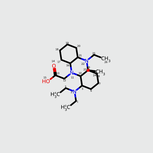 CCN(CC)C1CCCCC1N(CC(=O)O)C1CCCCC1N(CC)CC